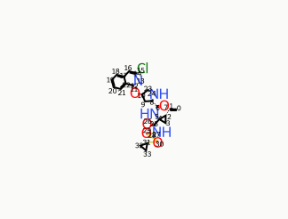 C=C[C@@H]1C[C@]1(NC(=O)[C@@H]1C[C@@H](Oc2nc(Cl)cc3ccccc23)CN1)C(=O)NS(=O)(=O)C1CC1